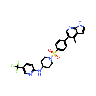 Cc1c(-c2ccc(S(=O)(=O)N3CCC(Nc4ccc(C(F)(F)F)cn4)CC3)cc2)cnc2[nH]ccc12